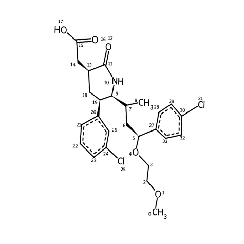 COCCO[C@@H](CC(C)[C@@H]1NC(=O)[C@H](CC(=O)O)C[C@@H]1c1cccc(Cl)c1)c1ccc(Cl)cc1